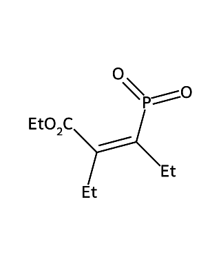 CCOC(=O)C(CC)=C(CC)P(=O)=O